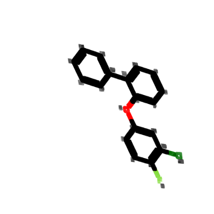 Fc1ccc(Oc2c[c]ccc2-c2ccccc2)cc1Cl